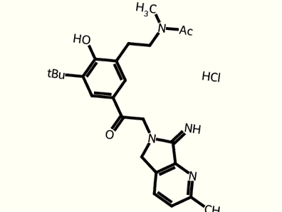 CC(=O)N(C)CCc1cc(C(=O)CN2Cc3ccc(C)nc3C2=N)cc(C(C)(C)C)c1O.Cl